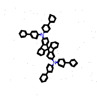 c1ccc(-c2ccc(N(c3ccc(-c4ccccc4)cc3)c3ccc4c(c3)-c3ccccc3C43c4ccccc4-c4cc(N(c5ccc(-c6ccccc6)cc5)c5ccc(-c6ccccc6)cc5)ccc43)cc2)cc1